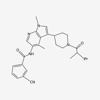 Cc1c(NC(=O)c2cccc(C#N)c2)cnc2c1c(C1CCN(C(=O)C(C)C(C)C)CC1)cn2C